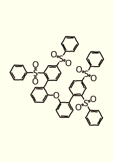 O=S(=O)(c1ccccc1)c1ccc(-c2ccccc2Oc2ccccc2-c2ccc(S(=O)(=O)c3ccccc3)cc2S(=O)(=O)c2ccccc2)c(S(=O)(=O)c2ccccc2)c1